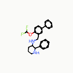 FC(F)Oc1ccc(-c2ccccc2)cc1CNC1CCCNC1c1ccccc1